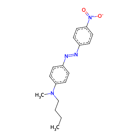 CCCCN(C)c1ccc(N=Nc2ccc([N+](=O)[O-])cc2)cc1